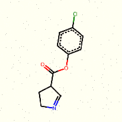 O=C(Oc1ccc(Cl)cc1)C1C=NCC1